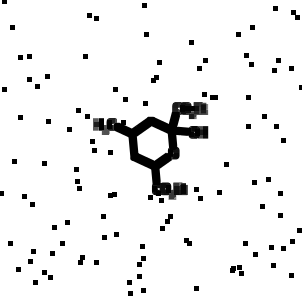 CCOC(=O)C1CC(C)CC(O)(C(=O)OCC)O1